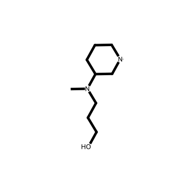 CN(CCCO)C1CCC[N]C1